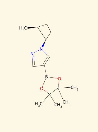 C[C@H]1CC[C@H]1n1cc(B2OC(C)(C)C(C)(C)O2)cn1